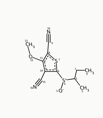 CCC(C)[S+]([O-])c1sc(C#N)c(OC)c1C#N